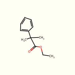 CCOC(=O)C(C)(C)c1cc[c]cc1